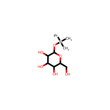 CC(C)[Si](C)(C)OC1OC(CO)C(O)C(O)C1O